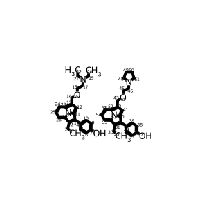 CCc1c(-c2ccc(O)cc2)c2cc(COCCN(CC)CC)c3cccc1n32.CCc1c(-c2ccc(O)cc2)c2cc(COCCN3CCCC3)c3cccc1n32